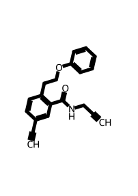 C#CCNC(=O)c1cc(C#C)ccc1CCOc1ccccc1